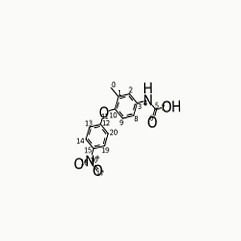 Cc1cc(NC(=O)O)ccc1Oc1ccc([N+](=O)[O-])cc1